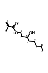 C=C(C)C(=O)OCCC(O)CCCCC